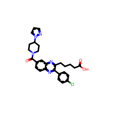 O=C(O)CCCCc1nc2cc(C(=O)N3CCC(n4cccn4)CC3)ccc2nc1-c1ccc(Cl)cc1